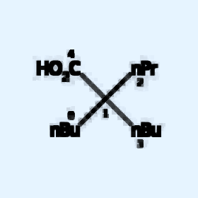 CCCCC(CCC)(CCCC)C(=O)O